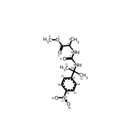 COC(=O)C(C)NC(=O)NC(C)(C)c1ccc([N+](=O)[O-])cc1